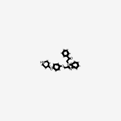 O=C(Cn1c(COc2ccc(OC3CCNCC3)cc2)nc2ccccc21)c1ccccc1